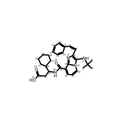 CC(C)(C)Nc1c(/C=C\c2ccccc2)nc2c(C(=O)NC(CC(=O)O)C3CCCCC3)cccn12